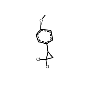 COc1ccc([C]2CC2(Cl)Cl)cc1